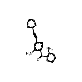 Nc1ccccc1C(=O)c1ccc(C#Cc2ccccc2)cc1N